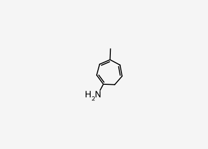 CC1=CC=C(N)CC=C1